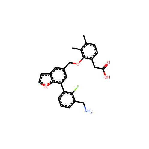 Cc1ccc(CC(=O)O)c(OCc2cc(-c3cccc(CN)c3F)c3occc3c2)c1C